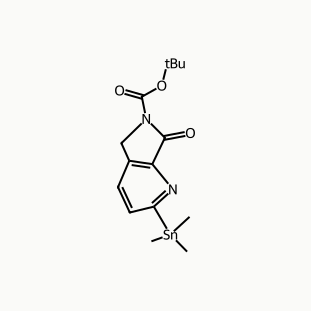 CC(C)(C)OC(=O)N1Cc2cc[c]([Sn]([CH3])([CH3])[CH3])nc2C1=O